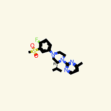 Cc1ccnc(N2CCN(c3ccc(F)c(S(C)(=O)=O)c3)C[C@H]2C(C)C)n1